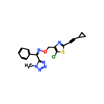 Cn1nnnc1C(=NOCc1nc(C#CC2CC2)sc1Cl)c1ccccc1